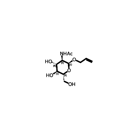 C=CCO[C@H]1O[C@H](CO)[C@@H](O)[C@H](O)[C@H]1NC(C)=O